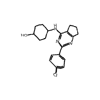 OC1CCC(Nc2nc(-c3ccc(Cl)cc3)nc3c2CCC3)CC1